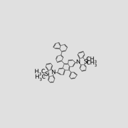 C[Si]1(C)c2ccccc2N(c2ccc3c(-c4cccc(-c5cccc6ccccc56)c4)c4cc(N5c6ccccc6[Si](C)(C)c6ccccc65)ccc4c(-c4ccccc4)c3c2)c2ccccc21